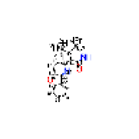 [2H]C([2H])([2H])c1c(C(C)C)c[nH]c(=O)c1-c1ccc2oc3ccccc3c2n1